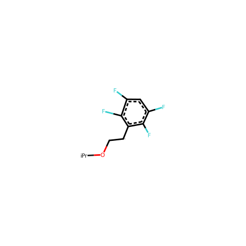 CC(C)OC[CH]c1c(F)c(F)cc(F)c1F